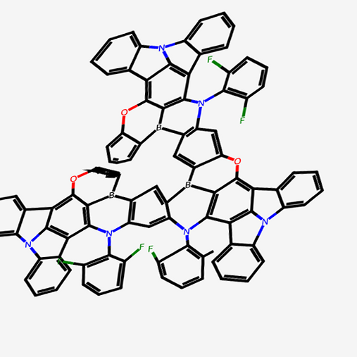 Cc1cccc(F)c1N1c2cc3c(cc2B2c4cc5c(cc4Oc4c2c1c1c2ccccc2n2c6ccccc6c4c12)N(c1c(F)cccc1F)c1c2c(c4c6ccccc6n6c7ccccc7c1c46)Oc1ccccc1B52)B1c2ccccc2Oc2c1c(c1c4ccccc4n4c5ccccc5c2c14)N3c1c(F)cccc1F